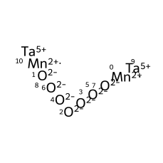 [Mn+2].[Mn+2].[O-2].[O-2].[O-2].[O-2].[O-2].[O-2].[O-2].[Ta+5].[Ta+5]